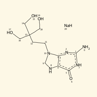 Nc1nc2c(c(=O)[nH]1)NCN2CCC(CO)(CO)CO.[NaH]